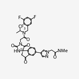 CNC(=O)Cn1cc(-c2ccc3c(c2)C(=O)C[C@]32NC(=O)N(CC(=O)N(Cc3cc(F)cc(F)c3)C(C)C(F)(F)F)C2=O)cn1